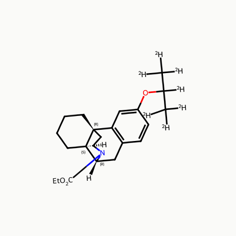 [2H]C([2H])([2H])C([2H])(Oc1ccc2c(c1)[C@@]13CCCC[C@@H]1[C@@H](C2)N(C(=O)OCC)CC3)C([2H])([2H])[2H]